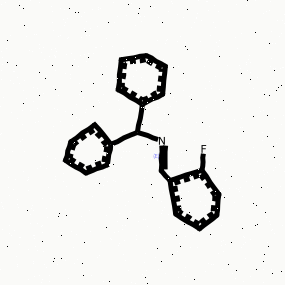 Fc1ccccc1/C=N/C(c1ccccc1)c1ccccc1